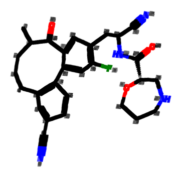 CC1CCCc2cc(C#N)ccc2-c2cc(F)c(CC(C#N)NC(=O)[C@@H]3CNCCCO3)cc2C1=O